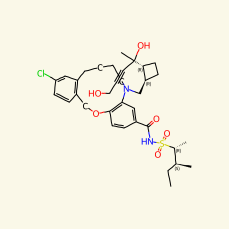 CC[C@H](C)[C@@H](C)S(=O)(=O)NC(=O)c1ccc2c(c1)N(C[C@@H]1CC[C@H]1C(C)(O)C#CCO)CCCCc1cc(Cl)ccc1CO2